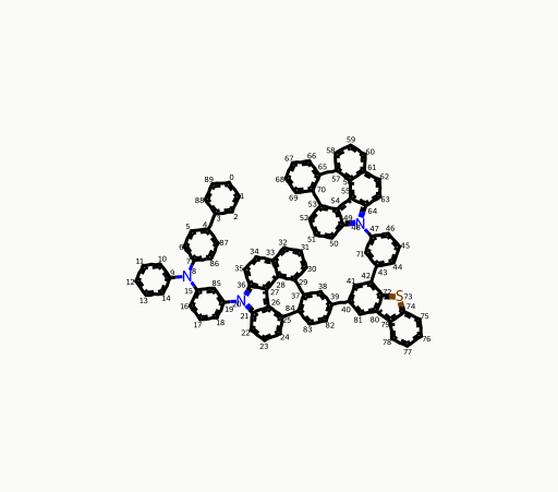 c1ccc(-c2ccc(N(c3ccccc3)c3cccc(-n4c5cccc6c5c5c7c(cccc7ccc54)-c4cc(-c5cc(-c7cccc(-n8c9cccc%10c9c9c%11c(cccc%11ccc98)-c8ccccc8-%10)c7)c7sc8ccccc8c7c5)ccc4-6)c3)cc2)cc1